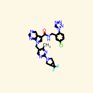 Cc1nc(N2CC3C(C2)C3(F)F)ncc1Cn1cc(C(=O)NCc2cc(Cl)ccc2-n2cnnn2)c2cncnc21